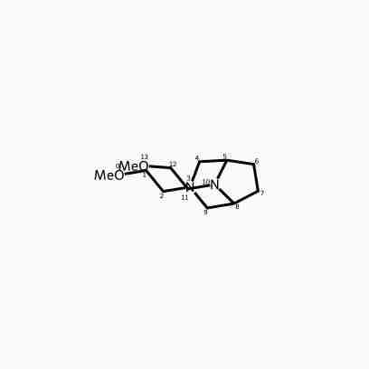 COCCN1CC2CCC(C1)N2CCOC